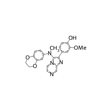 COc1cc(-c2nc3cnccn3c2N(C)c2ccc3c(c2)OCCO3)ccc1O